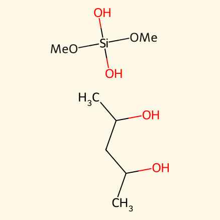 CC(O)CC(C)O.CO[Si](O)(O)OC